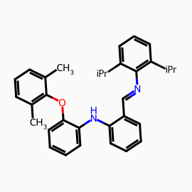 Cc1cccc(C)c1Oc1ccccc1Nc1ccccc1/C=N/c1c(C(C)C)cccc1C(C)C